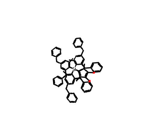 CC1=C(C)C(C)C([Si](c2c(C)cc(Cc3ccccc3)cc2Cc2ccccc2)(c2c(C)cc(Cc3ccccc3)cc2Cc2ccccc2)c2c(C)cc(Cc3ccccc3)cc2Cc2ccccc2)=C1C